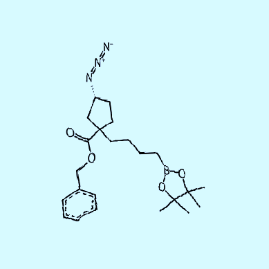 CC1(C)OB(CCCCC2(C(=O)OCc3ccccc3)CC[C@@H](N=[N+]=[N-])C2)OC1(C)C